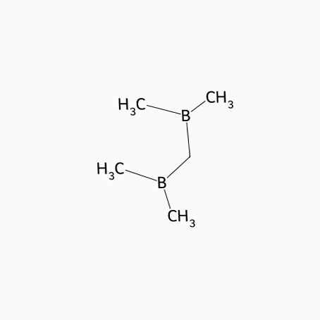 CB(C)CB(C)C